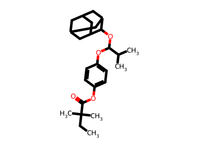 CCC(C)(C)C(=O)Oc1ccc(OC(OC2C3CC4CC(C3)CC2C4)C(C)C)cc1